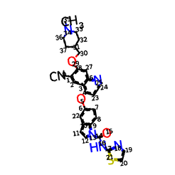 [C-]#[N+]c1cc2c(Oc3ccc4c(ccn4C(=O)Nc4nccs4)c3)ccnc2cc1OCC1CCN(C)CC1